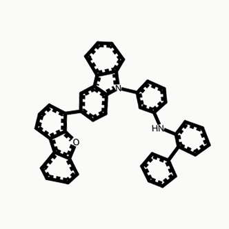 c1ccc(-c2ccccc2Nc2cccc(-n3c4ccccc4c4cc(-c5cccc6c5oc5ccccc56)ccc43)c2)cc1